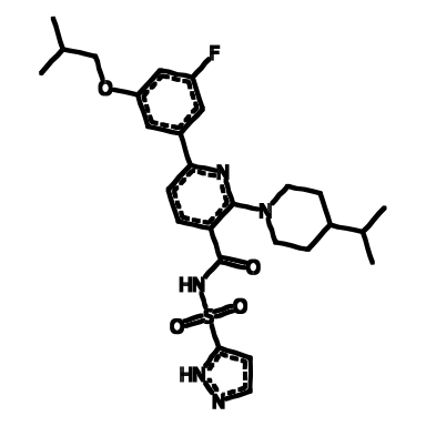 CC(C)COc1cc(F)cc(-c2ccc(C(=O)NS(=O)(=O)c3ccn[nH]3)c(N3CCC(C(C)C)CC3)n2)c1